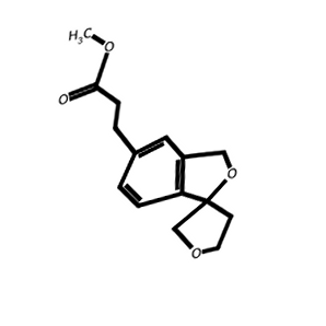 COC(=O)CCc1ccc2c(c1)COC21CCOC1